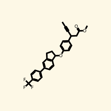 CC#CC(CC(=O)OC)c1ccc(OC2CCc3cc(-c4ccc(C(F)(F)F)cc4)ccc32)cc1